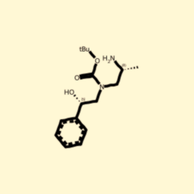 C[C@@H](N)CN(C[C@@H](O)c1ccccc1)C(=O)OC(C)(C)C